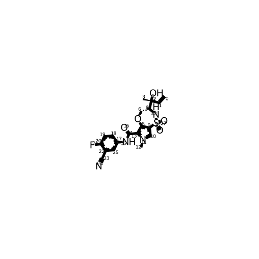 C=C[C@@](C)(O)[C@H]1COc2c(cn(C)c2C(=O)Nc2ccc(F)c(C#N)c2)S(=O)(=O)N1